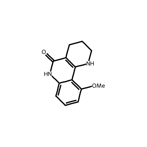 COc1cccc2[nH]c(=O)c3c(c12)NCCC3